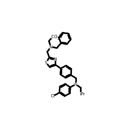 CC(C)CN(Cc1ccc(-c2csc(CN(CC(=O)O)Cc3ccccc3)n2)cc1)c1ccc(Cl)cc1